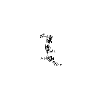 COC(=O)c1ccc(C2=CN3C(=O)c4cc(OC)c(OCCCCCOc5cc6c(cc5OC)C(=O)N5C=C(c7ccc(NC(=O)C(C)NC(=O)C(NC(=O)CCCCCN8C(=O)C=CC8=O)C(C)C)cc7)C[C@H]5C=N6)cc4N=C[C@@H]3C2)cc1